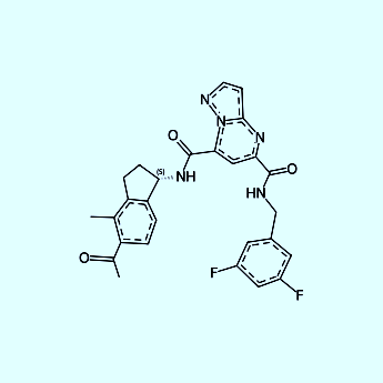 CC(=O)c1ccc2c(c1C)CC[C@@H]2NC(=O)c1cc(C(=O)NCc2cc(F)cc(F)c2)nc2ccnn12